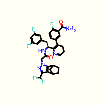 NC(=O)c1cc(C2=C([C@H](Cc3cc(F)cc(F)c3)NC(=O)Cn3nc(C(F)F)c4c3C3CCC4C3)N=CCC2)ccc1F